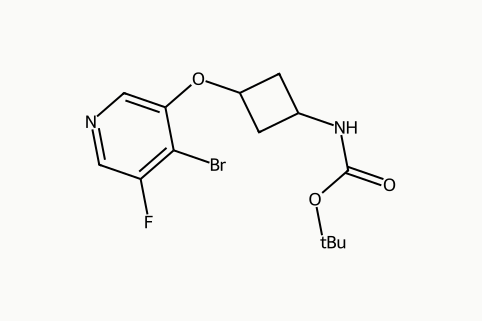 CC(C)(C)OC(=O)NC1CC(Oc2cncc(F)c2Br)C1